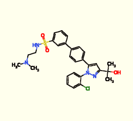 CN(C)CCNS(=O)(=O)c1cccc(-c2ccc(-c3cc(C(C)(C)O)nn3-c3ccccc3Cl)cc2)c1